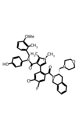 COc1cccc(CN(C(=O)c2c(-c3cc(Cl)c(F)cc3C(=O)N3Cc4ccccc4C[C@H]3CN3CCOCC3)cn(C)c2C)c2ccc(O)cc2)c1C